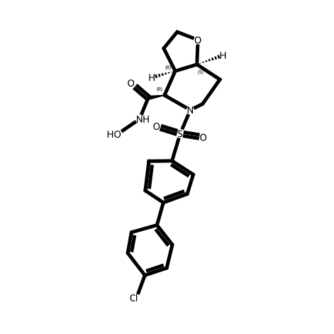 O=C(NO)[C@H]1[C@H]2CCO[C@H]2CCN1S(=O)(=O)c1ccc(-c2ccc(Cl)cc2)cc1